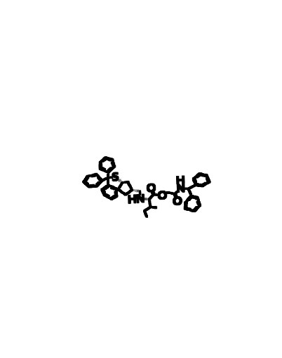 CC[C@H](C)[C@H](NC[C@@H]1CC[C@H](SC(c2ccccc2)(c2ccccc2)c2ccccc2)C1)C(=O)OCC(=O)NC(c1ccccc1)c1ccccc1